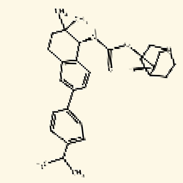 CC(C)c1ccc(-c2ccc3c(c2)CCC(C)(C)[C@H]3NC(=O)O[C@@H]2CN3CCC2CC3)cc1